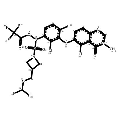 Cn1cnc2ccc(Nc3c(F)ccc(N(OC(=O)C(F)(F)F)S(=O)(=O)N4CC(COC(F)F)C4)c3Cl)c(Cl)c2c1=O